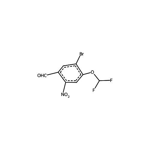 O=Cc1cc(Br)c(OC(F)F)cc1[N+](=O)[O-]